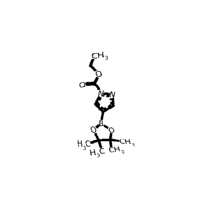 CCOC(=O)n1cc(B2OC(C)(C)C(C)(C)O2)cn1